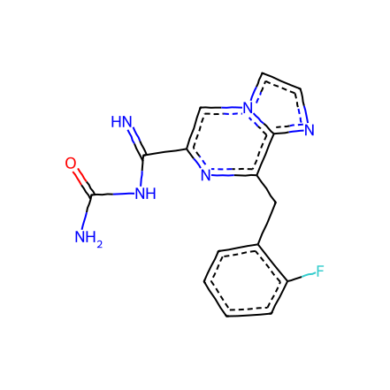 N=C(NC(N)=O)c1cn2ccnc2c(Cc2ccccc2F)n1